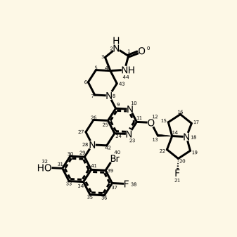 O=C1NCC2(CCCN(c3nc(OC[C@@]45CCCN4C[C@H](F)C5)nc4c3CCN(c3cc(O)cc5ccc(F)c(Br)c35)C4)C2)N1